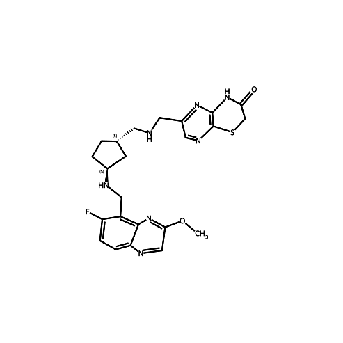 COc1cnc2ccc(F)c(CN[C@H]3CC[C@H](CNCc4cnc5c(n4)NC(=O)CS5)C3)c2n1